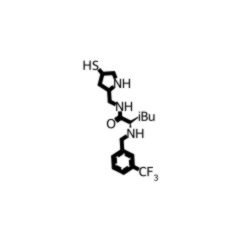 CC[C@H](C)[C@H](NCc1cccc(C(F)(F)F)c1)C(=O)NCC1CC(S)CN1